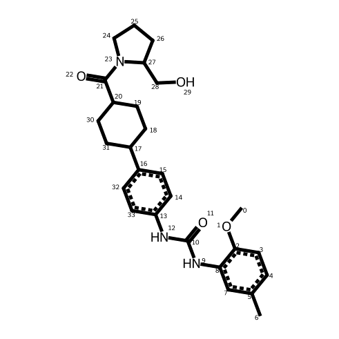 COc1ccc(C)cc1NC(=O)Nc1ccc(C2CCC(C(=O)N3CCCC3CO)CC2)cc1